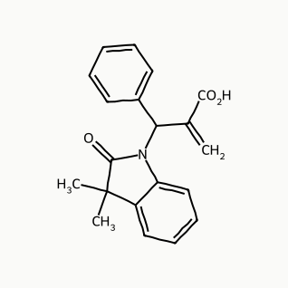 C=C(C(=O)O)C(c1ccccc1)N1C(=O)C(C)(C)c2ccccc21